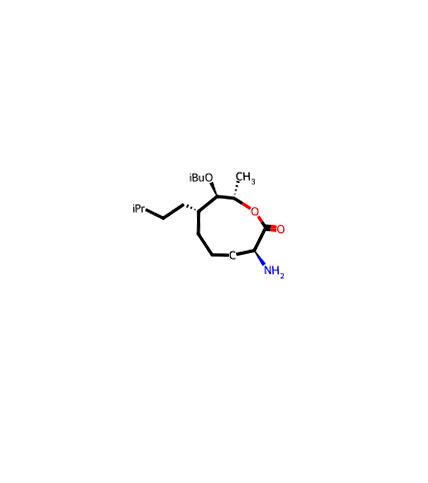 CC(C)CC[C@H]1CCC[C@H](N)C(=O)O[C@@H](C)[C@@H]1OCC(C)C